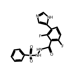 O=C(NNS(=O)(=O)c1ccccc1)c1c(F)ccc(-c2cnc[nH]2)c1F